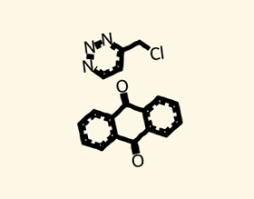 ClCc1ccnnn1.O=C1c2ccccc2C(=O)c2ccccc21